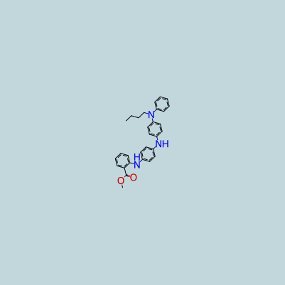 CCCCN(c1ccccc1)c1ccc(Nc2ccc(Nc3ccccc3C(=O)OC)cc2)cc1